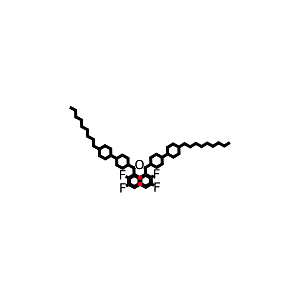 CCCCCCCCCC1CCC(C2CCC(C(OC(c3cccc(F)c3F)C3CCC(C4CCC(CCCCCCCCC)CC4)CC3)c3cccc(F)c3F)CC2)CC1